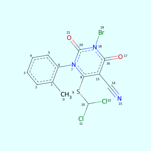 Cc1ccccc1-n1c(SC(Cl)Cl)c(C#N)c(=O)n(Br)c1=O